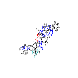 Cc1ccc(NC(=O)c2ccc(CN3CCN(C)CC3)c(C(F)(F)F)c2)cc1NC(=O)N(C)c1cc(Nc2ccccc2)ncn1